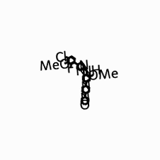 COc1cc(N2CCC(N3CCOCC3)CC2)ccc1Nc1ncc(-c2ccc(Cl)c(OC)c2F)cn1